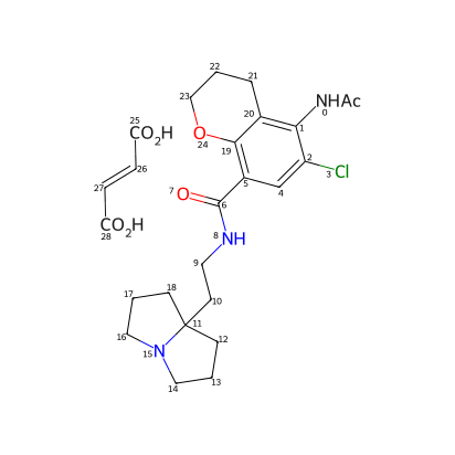 CC(=O)Nc1c(Cl)cc(C(=O)NCCC23CCCN2CCC3)c2c1CCCO2.O=C(O)C=CC(=O)O